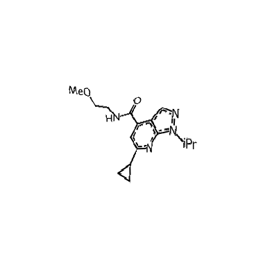 COCCNC(=O)c1cc(C2CC2)nc2c1cnn2C(C)C